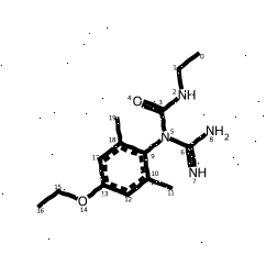 CCNC(=O)N(C(=N)N)c1c(C)cc(OCC)cc1C